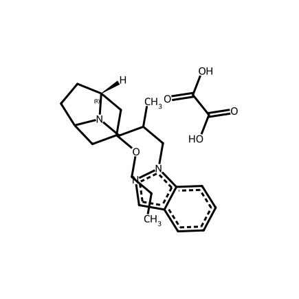 CCCOC1CC2CC[C@H](C1)N2CC(C)Cn1ncc2ccccc21.O=C(O)C(=O)O